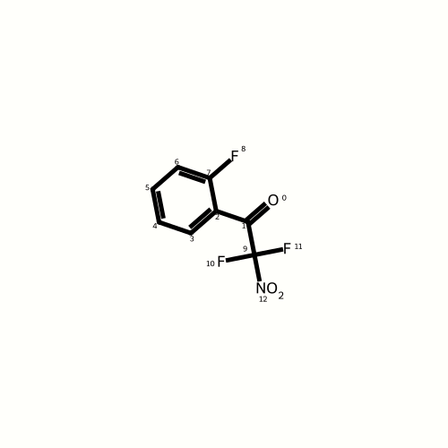 O=C(c1ccccc1F)C(F)(F)[N+](=O)[O-]